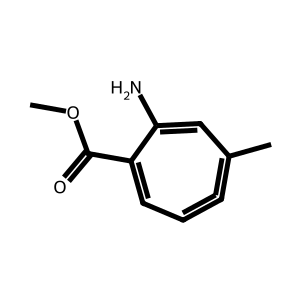 COC(=O)C1=CC=C=C(C)C=C1N